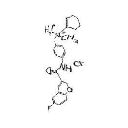 C[N+](C)(Cc1ccc(NC(=O)C2=Cc3cc(F)ccc3OC2)cc1)C1CCCCC1.[Cl-]